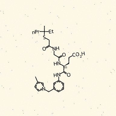 CCCC(C)(CC)SCC(=O)NCC(=O)N[C@@H](CCC(=O)O)C(=O)Nc1cccc(Cn2ccc(C)c2)c1